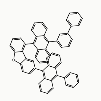 c1ccc(-c2cccc(-c3c4ccccc4c(-c4cccc5oc6ccc(-c7c8ccccc8c(-c8ccccc8)c8ccccc78)cc6c45)c4ccccc34)c2)cc1